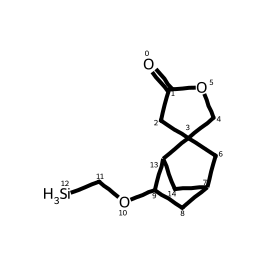 O=C1CC2(CO1)CC1CC(OC[SiH3])C2C1